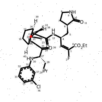 CCOC(=O)/C(F)=C\[C@H](C[C@H]1CCNC1=O)NC(=O)[C@H]1[C@@H]2CC[C@@H](CC2(F)F)N1C(=O)[C@H](CC(C)C)Nc1cccc(Cl)c1